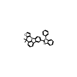 CC1(C)c2occc2-n2c3ccc(-c4nc5ccccc5n4-c4ccccc4)cc3c3cccc1c32